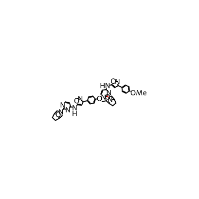 COc1ccc(-c2cc(Nc3ccnc(N4C5CCC4C(COc4ccc(-c6cc(Nc7ccnc(N8CC9CCC(C8)O9)n7)on6)cc4)OC5)n3)on2)cc1